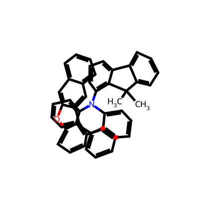 CC1(C)c2ccccc2-c2cccc(N(c3ccccc3-c3ccccc3)c3ccccc3-c3cccc4oc5cc6ccccc6cc5c34)c21